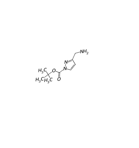 CC(C)(C)OC(=O)n1ccc(CN)n1